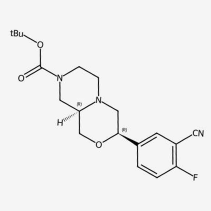 CC(C)(C)OC(=O)N1CCN2C[C@@H](c3ccc(F)c(C#N)c3)OC[C@H]2C1